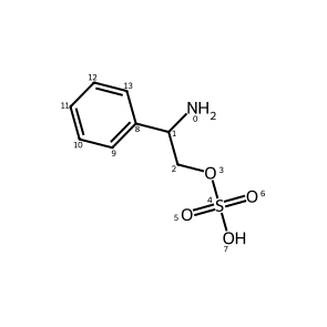 NC(COS(=O)(=O)O)c1ccccc1